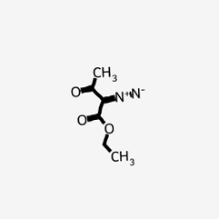 CCOC(=O)C(=[N+]=[N-])C(C)=O